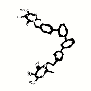 Cc1nc(C(=O)O)c(O)c(=O)n1CCc1ccc(-c2cccc(-c3cccc(-c4ccc(Cn5c(C)nc(C(=O)O)c(O)c5=O)cc4)c3)c2)cc1